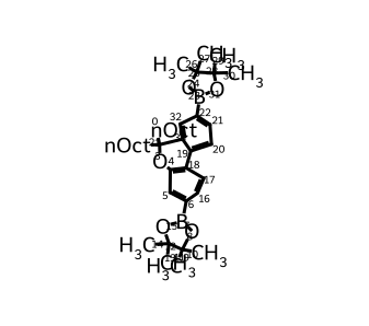 CCCCCCCCC1(CCCCCCCC)Oc2cc(B3OC(C)(C)C(C)(C)O3)ccc2-c2ccc(B3OC(C)(C)C(C)(C)O3)cc21